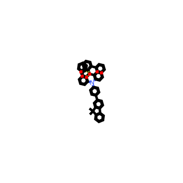 CC1(C)c2ccccc2-c2ccc(-c3ccc(N(c4ccccc4-c4cccc5cccc(-c6ccccc6)c45)c4cccc5c4sc4ccccc45)cc3)cc21